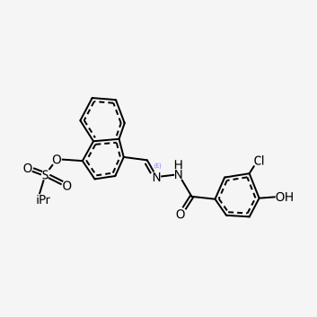 CC(C)S(=O)(=O)Oc1ccc(/C=N/NC(=O)c2ccc(O)c(Cl)c2)c2ccccc12